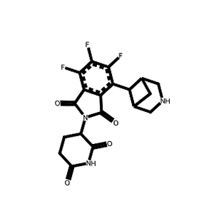 O=C1CCC(N2C(=O)c3c(F)c(F)c(F)c(C4C5CNCC4C5)c3C2=O)C(=O)N1